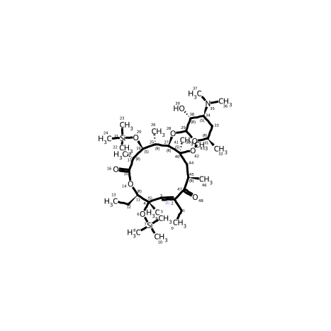 CC/C1=C\[C@](C)(O[Si](C)(C)C)[C@@H](CC)OC(=O)[C@H](C)[C@@H](O[Si](C)(C)C)[C@H](C)[C@@H](OC2O[C@H](C)C[C@H](N(C)C)[C@H]2O)[C@@](C)(OC)C[C@@H](C)C1=O